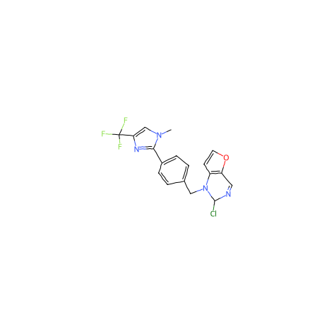 Cn1cc(C(F)(F)F)nc1-c1ccc(CN2c3ccoc3C=NC2Cl)cc1